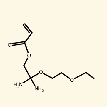 C=CC(=O)OCC(N)(N)OCCOCC